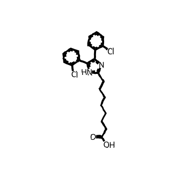 O=C(O)CCCCCCCc1nc(-c2ccccc2Cl)c(-c2ccccc2Cl)[nH]1